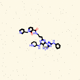 COc1c(NC2CCCNC2)nc(/C=C/CNC(=O)c2cccn(Cc3cccnc3)c2=O)nc1-n1nc(Nc2ccccc2)nc1N